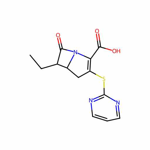 CCC1C(=O)N2C(C(=O)O)=C(Sc3ncccn3)CC12